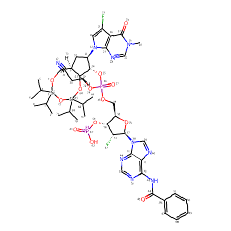 CC(C)[Si]1(C(C)C)OC[C@H]2C[C@@H](n3cc(F)c4c(=O)n(C)cnc43)[C@H](OP(=O)(OCCC#N)OC[C@H]3O[C@@H](n4cnc5c(NC(=O)c6ccccc6)ncnc54)[C@H](F)[C@@H]3O[PH](=O)O)[C@@H]2O[Si](C(C)C)(C(C)C)O1